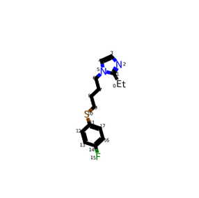 CCc1nccn1CCCCSc1ccc(F)cc1